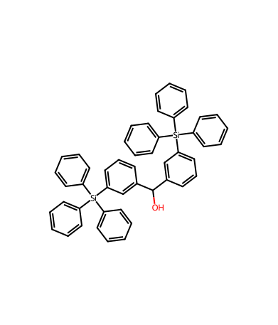 OC(c1cccc([Si](c2ccccc2)(c2ccccc2)c2ccccc2)c1)c1cccc([Si](c2ccccc2)(c2ccccc2)c2ccccc2)c1